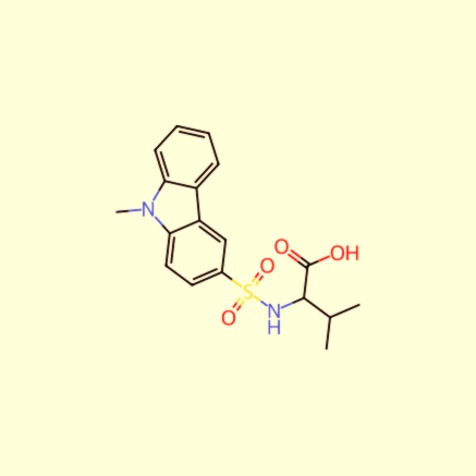 CC(C)C(NS(=O)(=O)c1ccc2c(c1)c1ccccc1n2C)C(=O)O